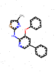 Cc1csc(Nc2ncc(-c3ccccc3)cc2Oc2ccccc2)n1